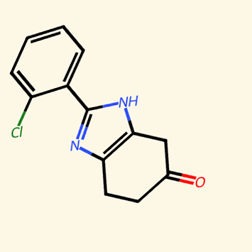 O=C1CCc2nc(-c3ccccc3Cl)[nH]c2C1